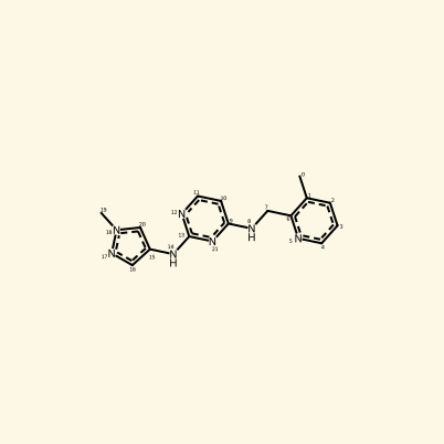 Cc1cccnc1CNc1ccnc(Nc2cnn(C)c2)n1